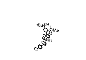 COC(=O)C1CC(N(C)C(C)(C)C)CCC1N1CC[C@H](NC(=O)c2ccc(-c3ccc(Cl)cc3)o2)C1=O